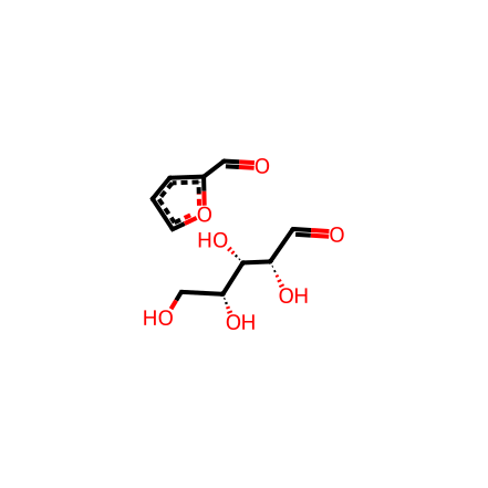 O=C[C@H](O)[C@@H](O)[C@H](O)CO.O=Cc1ccco1